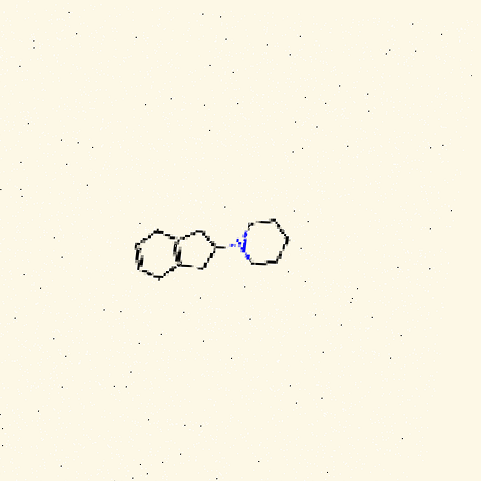 C1=CCC2=C(C1)CC(N1CCCCC1)C2